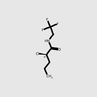 CCC[C@@H](Cl)C(=O)NCC(F)(F)F